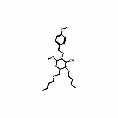 CCCCOCC1O[C@@H](OC)[C@@H](OCc2ccc(OC)cc2)C(O)[C@H]1OCCCC